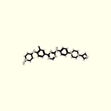 Cc1cc(-c2ncnc(Nc3ccc(N4CCN(C5COC5)CC4)cc3)n2)ccc1OC1CC[S+]([O-])CC1